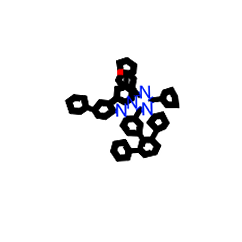 c1ccc(-c2ccc3c(c2)c2cc(-c4ccccc4)ccc2n3-c2ccc(-c3c(-c4ccccc4)cccc3-c3ccccc3)cc2-c2nc(-c3ccccc3)nc(-c3ccccc3)n2)cc1